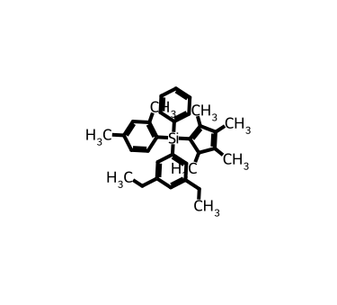 CCc1cc(CC)cc([Si](C2=C(C)C(C)=C(C)C2C)(c2ccccc2)c2ccc(C)cc2C)c1